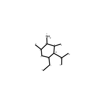 CCC1CC(C)C(N)C(C)C1C(C)C